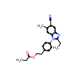 CCC(=O)OCCc1ccc(-n2c(CC)nc3cc(C#N)c(C)cc32)cc1